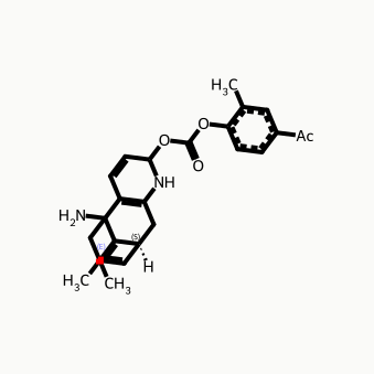 C/C=C1\[C@@H]2C=C(C)CC1(N)C1=C(C2)NC(OC(=O)Oc2ccc(C(C)=O)cc2C)C=C1